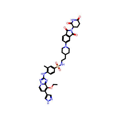 CCOc1c(-c2cn[nH]c2)ccn2nc(Nc3ccc(S(=O)(=O)NCCC4CCN(c5ccc6c(c5)C(=O)N(C5CCC(=O)NC5=O)C6=O)CC4)cc3C)nc12